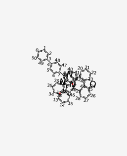 c1ccc(-c2ccc(-c3nc(-c4ccccc4)nc(-c4cccc5oc6cccc(-c7cc8ccccc8c8ccccc78)c6c45)n3)cc2)cc1